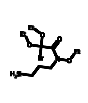 CCON(CCC[SiH3])C(=O)C(Br)(OCC)OCC